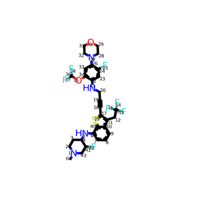 CN1CCC(Nc2cccc3c(CC(F)(F)F)c(C#CCNc4cc(F)c(N5CCOCC5)cc4OC(F)F)sc23)C(F)C1